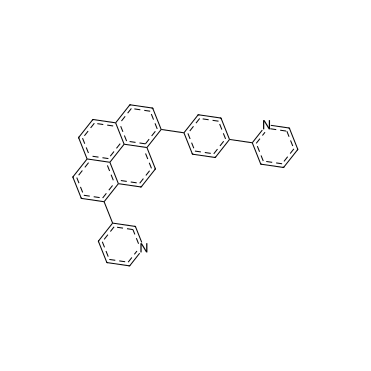 c1ccc(-c2ccc(-c3ccc4ccc5ccc(-c6cccnc6)c6ccc3c4c56)cc2)nc1